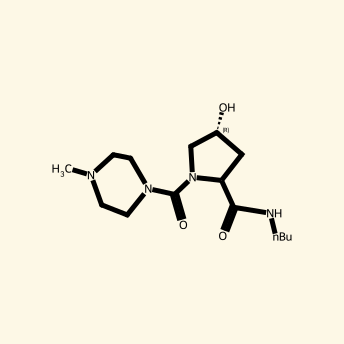 CCCCNC(=O)C1C[C@@H](O)CN1C(=O)N1CCN(C)CC1